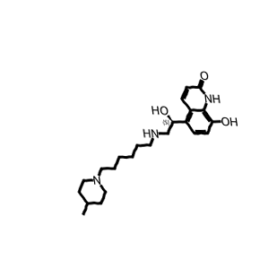 CC1CCN(CCCCCCNC[C@@H](O)c2ccc(O)c3[nH]c(=O)ccc23)CC1